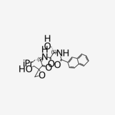 CC(C)C[C@H](NC(=O)[C@H](CO)NC(=O)c1ccc2ccccc2c1)C(=O)C1(CO)CO1